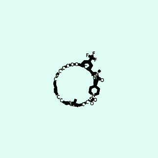 Cc1cc2ccc1CCS(=O)(=O)N1CCC3(CC1)N=C(c1cc(cc(C(F)(F)F)c1)OCCCCCCC/C=C/CC2)N(C)C3=O